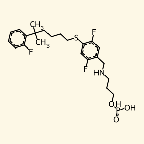 CC(C)(CCCCSc1cc(F)c(CNCCCO[PH](=O)O)cc1F)c1ccccc1F